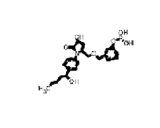 CCCCC(O)c1ccc(N2C(=O)C(O)CC2COCc2cccc(OP(O)O)c2)cc1